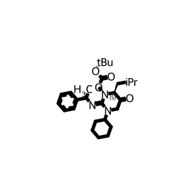 CC(C)C[C@H]1C(=O)CN(C2CCCCC2)C(=NC(C)c2ccccc2)N1OC(=O)OC(C)(C)C